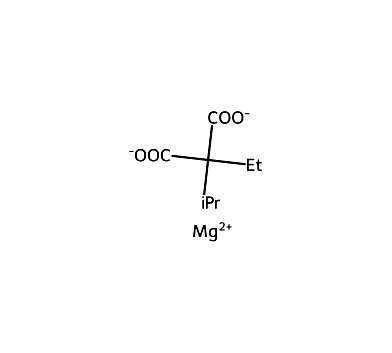 CCC(C(=O)[O-])(C(=O)[O-])C(C)C.[Mg+2]